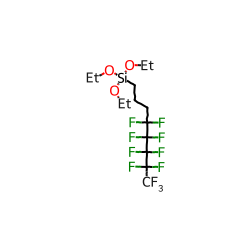 CCO[Si](CCCC(F)(F)C(F)(F)C(F)(F)C(F)(F)C(F)(F)F)(OCC)OCC